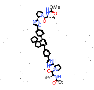 CCC(=O)N[C@H](C(=O)N1CCC[C@H]1c1ncc(-c2ccc(-c3ccc(-c4ccc(-c5cnc([C@@H]6CCCN6C(=O)[C@@H](NC(=O)OC)C(C)C)[nH]5)cc4)c4c3CCC43CCCC3)cc2)[nH]1)C(C)C